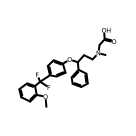 COc1ccccc1C(F)(F)c1ccc(OC(CCN(C)CC(=O)O)c2ccccc2)cc1